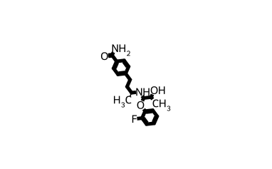 CC(O)C(N[C@H](C)CCc1ccc(C(N)=O)cc1)Oc1ccccc1F